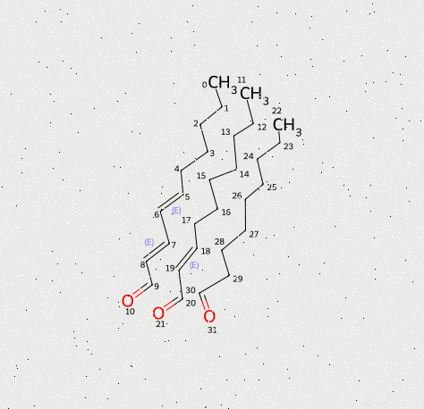 CCCCC/C=C/C=C/C=O.CCCCCCC/C=C/C=O.CCCCCCCCC=O